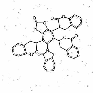 O=C1[N]c2c(c(C3Cc4ccccc4OC3=O)c(C3Cc4ccccc4C(=O)O3)c(N3Cc4ccccc4C3=O)c2C2Cc3ccccc3OO2)O1